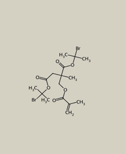 C=C(C)C(=O)OCC(C)(CC(=O)OC(C)(C)Br)C(=O)OC(C)(C)Br